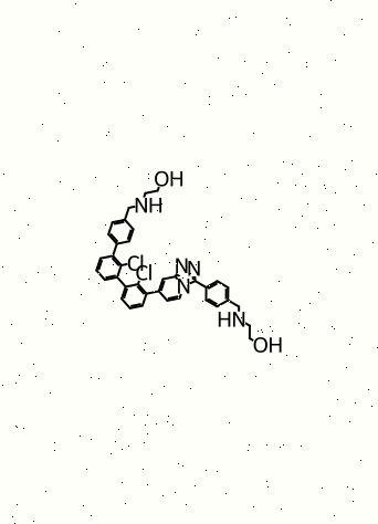 OCCNCc1ccc(-c2cccc(-c3cccc(-c4ccn5c(-c6ccc(CNCCO)cc6)nnc5c4)c3Cl)c2Cl)cc1